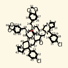 O=C(C(CN1CCn2cccc2C1c1ccc(Cl)cc1)N1CCN(Cc2ccc3c(c2)OCO3)CC1)C(CN1CCn2cccc2C1c1ccc(Cl)cc1)N1CCN(Cc2ccc3c(c2)OCO3)CC1